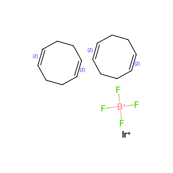 C1=C\CC/C=C\CC/1.C1=C\CC/C=C\CC/1.F[B-](F)(F)F.[Ir+]